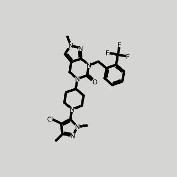 Cc1nn(C)c(N2CCC(N3Cc4cn(C)nc4N(Cc4ccccc4C(F)(F)F)C3=O)CC2)c1Cl